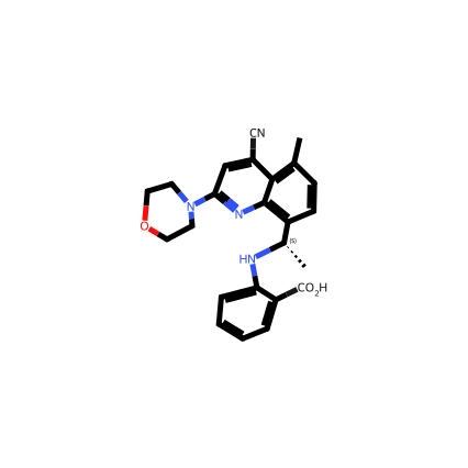 Cc1ccc([C@H](C)Nc2ccccc2C(=O)O)c2nc(N3CCOCC3)cc(C#N)c12